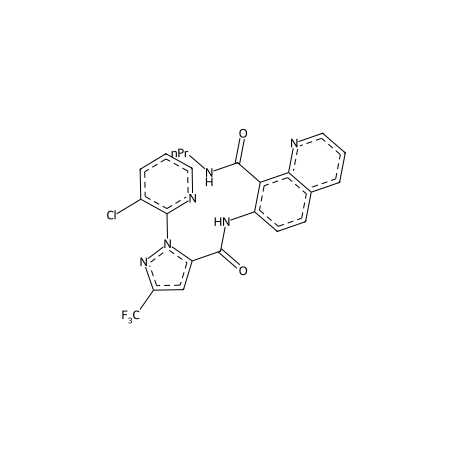 CCCNC(=O)c1c(NC(=O)c2cc(C(F)(F)F)nn2-c2ncccc2Cl)ccc2cccnc12